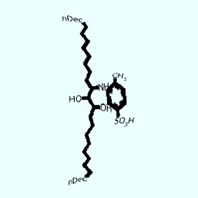 CCCCCCCCCCCCCCCCCCC(N)C(O)C(O)CCCCCCCCCCCCCCCCCC.Cc1ccc(S(=O)(=O)O)cc1